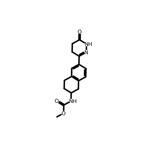 COC(=O)NC1CCc2cc(C3=NNC(=O)CC3)ccc2C1